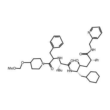 CCCC[C@H](NC(Cc1ccccc1)C(=O)N1CCC(OCOC)CC1)C(=O)N[C@@H](CC1CCCCC1)[C@@H](O)C[C@H](C(=O)NCc1ccccn1)C(C)C